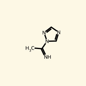 CC(=N)n1cncn1